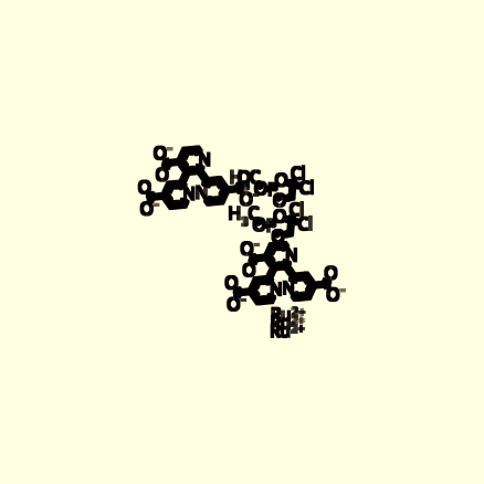 COP1OCC(Cl)(Cl)O1.COP1OCC(Cl)(Cl)O1.O=C([O-])c1ccnc(-c2nccc(C(=O)[O-])c2-c2cc(C(=O)[O-])ccn2)c1.O=C([O-])c1ccnc(-c2nccc(C(=O)[O-])c2-c2cc(C(=O)[O-])ccn2)c1.[Ru+2].[Ru+2].[Ru+2]